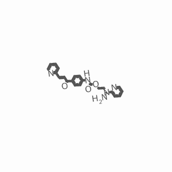 NN(CCOC(=O)Nc1ccc(C(=O)C=Cc2ccccn2)cc1)c1ccccn1